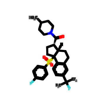 O=C(O)C1CCN(C(=O)[C@H]2CC[C@@]3(S(=O)(=O)c4ccc(F)cc4)c4ccc(C(F)(C(F)(F)F)C(F)(F)F)cc4CC[C@@H]23)CC1